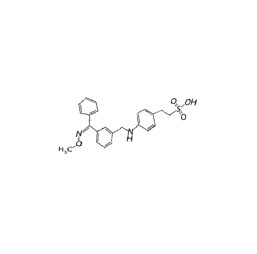 CO/N=C(/c1ccccc1)c1cccc(CNc2ccc(CCS(=O)(=O)O)cc2)c1